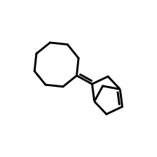 C1=C2CC(=C3CCCCCCC3)C(C1)C2